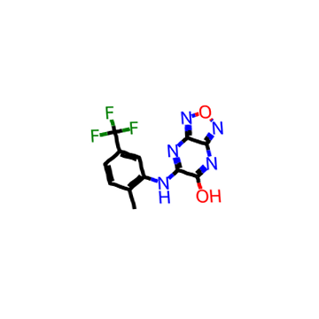 Cc1ccc(C(F)(F)F)cc1Nc1nc2nonc2nc1O